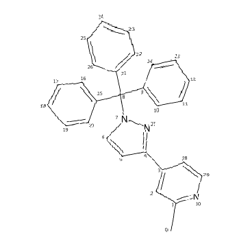 Cc1cc(-c2ccn(C(c3ccccc3)(c3ccccc3)c3ccccc3)n2)ccn1